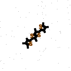 Cc1sc(-c2sc3c(C)c(-c4sc(C)c(C)c4C)sc3c2C)c(C)c1C